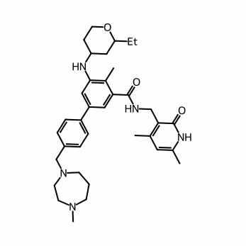 CCC1CC(Nc2cc(-c3ccc(CN4CCCN(C)CC4)cc3)cc(C(=O)NCc3c(C)cc(C)[nH]c3=O)c2C)CCO1